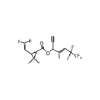 C#CC(OC(=O)C1C(C=C(F)F)C1(C)C)/C(C)=C/C(F)(F)C(F)(F)F